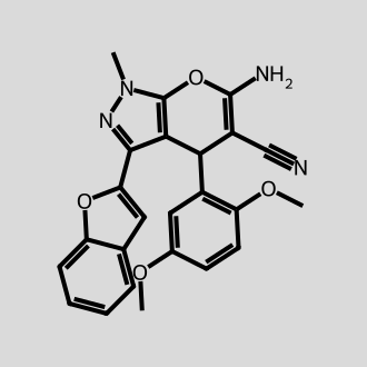 COc1ccc(OC)c(C2C(C#N)=C(N)Oc3c2c(-c2cc4ccccc4o2)nn3C)c1